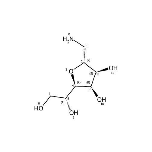 NC[C@H]1O[C@H]([C@H](O)CO)[C@H](O)[C@@H]1O